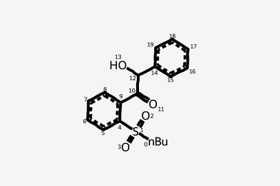 CCCCS(=O)(=O)c1ccccc1C(=O)C(O)c1ccccc1